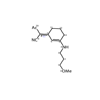 COCCCNC1=C/C(=C(\C#N)C(C)=O)CCC1